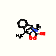 CC12CC(C)(C(=O)O)C(NC1=O)c1ccccc12